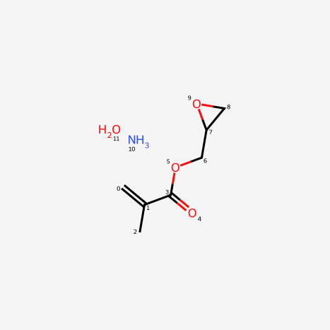 C=C(C)C(=O)OCC1CO1.N.O